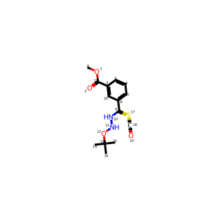 COC(=O)c1cccc(C(NNOC(C)(C)C)=S=C=O)c1